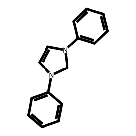 C1=CN(c2ccccc2)CN1c1ccccc1